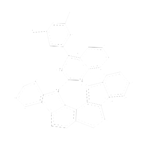 Cc1cc(C)cc(-c2nc(-n3c4ccccc4c4ccc5ccc6c7ccccc7sc6c5c43)nc3ccccc23)c1